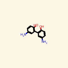 Nc1ccc(O)c(-c2cc(N)ccc2O)c1